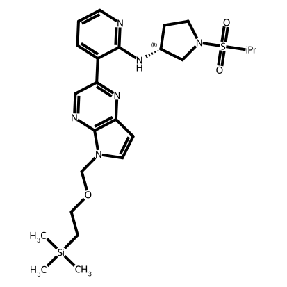 CC(C)S(=O)(=O)N1CC[C@@H](Nc2ncccc2-c2cnc3c(ccn3COCC[Si](C)(C)C)n2)C1